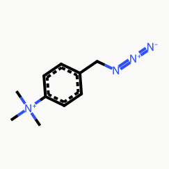 C[N+](C)(C)c1ccc(CN=[N+]=[N-])cc1